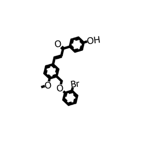 COc1ccc(/C=C/C(=O)c2ccc(O)cc2)cc1COc1ccccc1Br